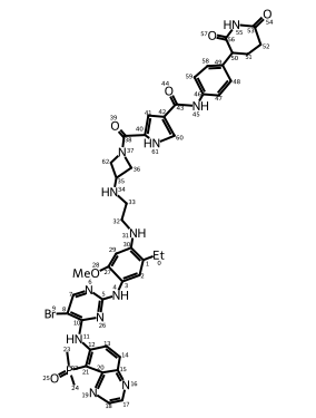 CCc1cc(Nc2ncc(Br)c(Nc3ccc4nccnc4c3P(C)(C)=O)n2)c(OC)cc1NCCNC1CN(C(=O)c2cc(C(=O)Nc3ccc(C4CCC(=O)NC4=O)cc3)c[nH]2)C1